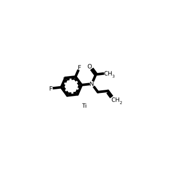 C=CCN(C(C)=O)c1ccc(F)[c]c1F.[Ti]